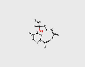 C=C(C)[C@H]1CC=C(C)CC1.C=CC(C)(O)CCC=C(C)C